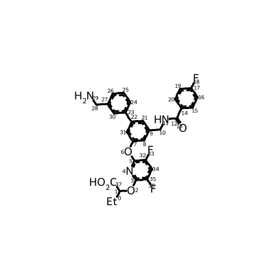 CCC(Oc1nc(Oc2cc(CNC(=O)c3ccc(F)cc3)cc(-c3cccc(CN)c3)c2)c(F)cc1F)C(=O)O